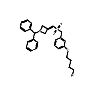 O=S(=O)(C=C1CN(C(c2ccccc2)c2ccccc2)C1)Cc1cccc(OCCCCBr)c1